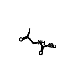 CC(C)(C)C(=O)NCC(=O)I